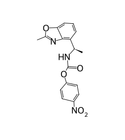 Cc1nc2c([C@@H](C)NC(=O)Oc3ccc([N+](=O)[O-])cc3)cccc2o1